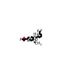 CCOc1cc2nc(C34CC(F)(C3)C4)cn2cc1NC(=O)c1cccc(C(F)F)n1